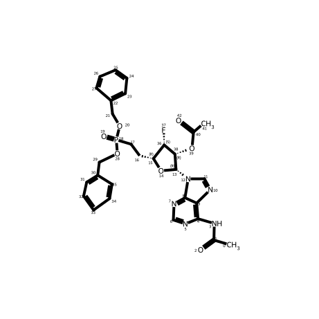 CC(=O)Nc1ncnc2c1ncn2[C@@H]1O[C@H](CCP(=O)(OCc2ccccc2)OCc2ccccc2)[C@H](F)[C@@H]1OC(C)=O